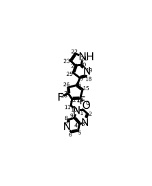 O=c1cnc2ccncc2n1Cc1c(F)cc(-c2cnc3[nH]ccc3c2)cc1F